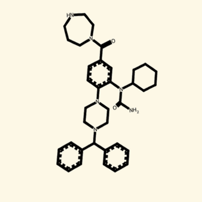 NC(=O)N(c1cc(C(=O)N2CCCNCC2)ccc1N1CCN(C(c2ccccc2)c2ccccc2)CC1)C1CCCCC1